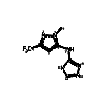 Cn1nc(C(F)(F)F)cc1NC1=NN=C[N]1